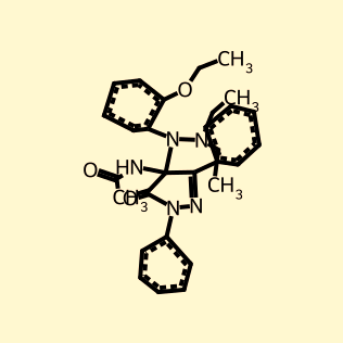 CCOc1ccccc1N(N(CC)CC)C1(NC(C)=O)C(=O)N(c2ccccc2)N=C1c1ccccc1